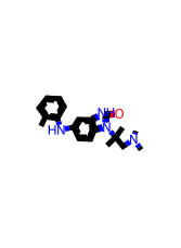 Cc1ccccc1Nc1ccc2c(c1)[nH]c(=O)n2C(C)(C)CN(C)C